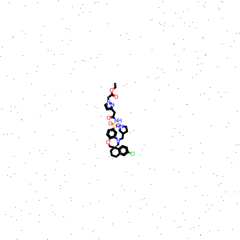 CCOC(=O)Cn1ccc(CC(=O)NS(=O)(=O)c2ccc3c(c2)N(CC2CCNC2)C[C@@]2(CCCc4cc(Cl)ccc42)CO3)n1